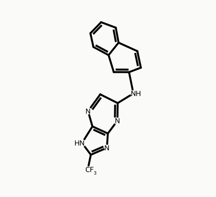 FC(F)(F)c1nc2nc(Nc3ccc4ccccc4c3)cnc2[nH]1